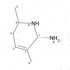 CC1=CCC(C)N[C@@H]1N